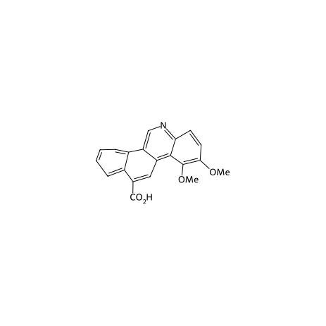 COc1ccc2ncc3c4ccccc4c(C(=O)O)cc3c2c1OC